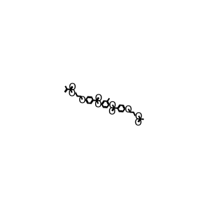 C=C(C)C(=O)OCCCOc1ccc(C(=O)Oc2ccc(OC(=O)c3ccc(OCCCOC(C)=O)cc3)c(C)c2)cc1